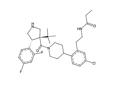 CCC(=O)NCCc1cc(Cl)ccc1C1CCN(C(=O)[C@@]2(C(C)(C)C)CNC[C@H]2c2ccc(F)cc2F)CC1